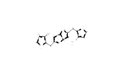 Cc1ccsc1Cc1cc2sc(Cc3sccc3Br)cc2s1